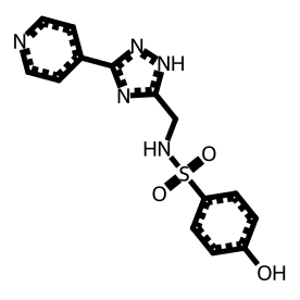 O=S(=O)(NCc1nc(-c2ccncc2)n[nH]1)c1ccc(O)cc1